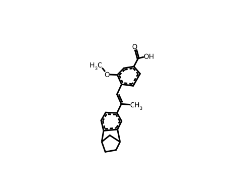 COc1cc(C(=O)O)ccc1/C=C(\C)c1ccc2c(c1)C1CCC2C1